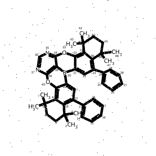 CC1(C)CCC(C)(C)c2c3c(cc(-c4ccccc4)c21)B1c2cc(-c4ccccc4)c4c(c2Oc2ncnc(c21)O3)C(C)(C)CCC4(C)C